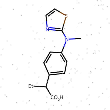 CCC(C(=O)O)c1ccc(N(C)c2nccs2)cc1